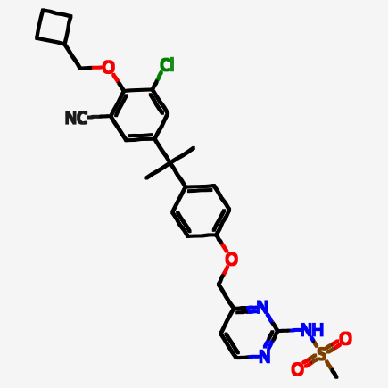 CC(C)(c1ccc(OCc2ccnc(NS(C)(=O)=O)n2)cc1)c1cc(Cl)c(OCC2CCC2)c(C#N)c1